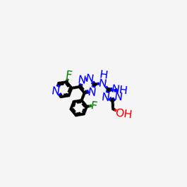 OCc1n[nH]c(Nc2nnc(-c3ccncc3F)c(-c3ccccc3F)n2)n1